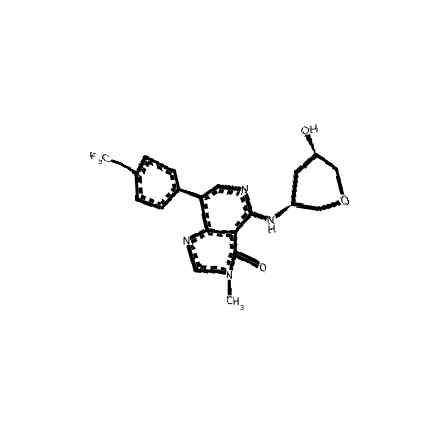 Cn1cnc2c(-c3ccc(C(F)(F)F)cc3)cnc(N[C@@H]3COC[C@H](O)C3)c2c1=O